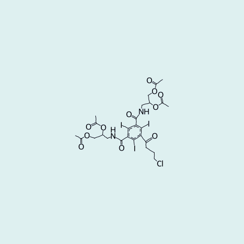 CC(=O)OCC(CNC(=O)c1c(I)c(C(=O)CCCCl)c(I)c(C(=O)NCC(COC(C)=O)OC(C)=O)c1I)OC(C)=O